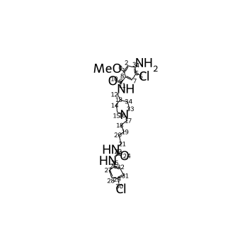 COc1cc(N)c(Cl)cc1C(=O)NCC1CCN(CCCCCNC(=O)Nc2ccc(Cl)cc2)CC1